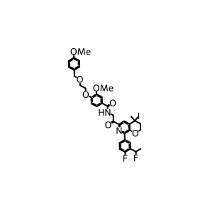 COc1ccc(COCCOc2ccc(C(=O)NCC(=O)c3cc4c(c(-c5ccc(F)c(C(C)F)c5)n3)OCCC4(C)I)cc2OC)cc1